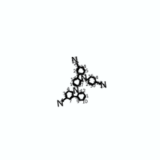 N#CC1=CCC2C(=C1)c1ccccc1N2c1ccc2c3cc(C#N)ccc3n(C3C=CC(C#N)CC3)c2c1